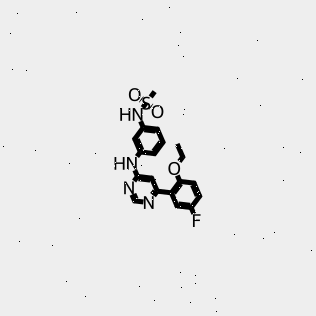 CCOc1ccc(F)cc1-c1cc(Nc2cccc(NS(C)(=O)=O)c2)ncn1